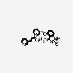 NC1=N[S+]([O-])Nc2cccc(OC[C@H]3CCCN(C(=O)CCc4cccnc4)C3)c21